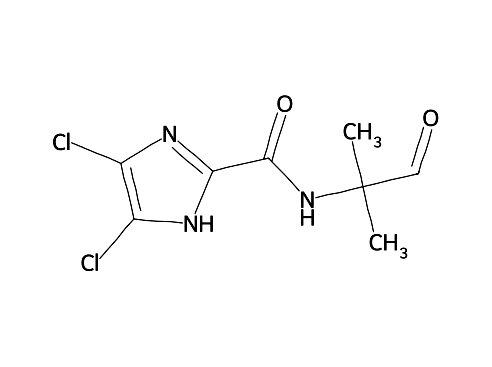 CC(C)(C=O)NC(=O)c1nc(Cl)c(Cl)[nH]1